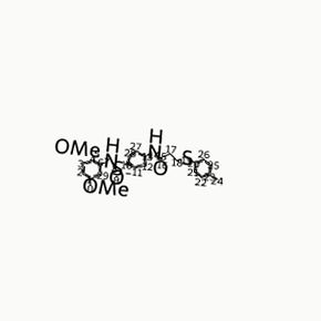 COc1ccc(OC)c(N[S+]([O-])c2ccc(NC(=O)CCSc3ccc(C)cc3)cc2)c1